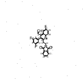 CSc1c(-c2cc(F)cc(F)c2)c(CCN2C(=O)c3ccccc3C2=O)nc2ccc(F)cc12